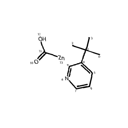 CC(C)(C)c1cccnc1.O=[C](O)[Zn]